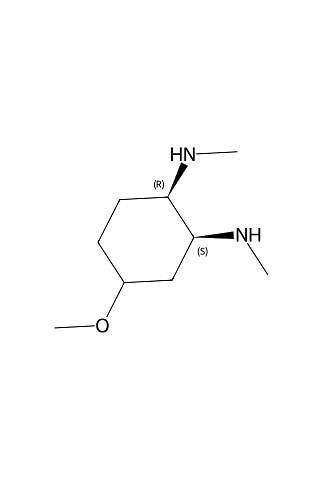 CN[C@H]1CC(OC)CC[C@H]1NC